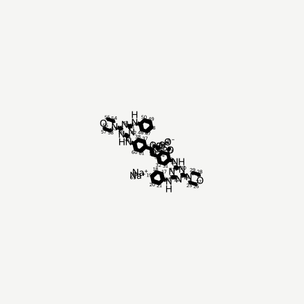 O=S(=O)([O-])C1(S(=O)(=O)[O-])CC(Nc2nc(Nc3ccccc3)nc(N3CCOCC3)n2)=CC=C1C=Cc1ccc(Nc2nc(Nc3ccccc3)nc(N3CCOCC3)n2)cc1.[Na+].[Na+]